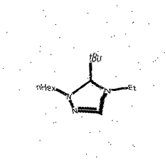 CCCCCCN1N=CN(CC)C1C(C)(C)C